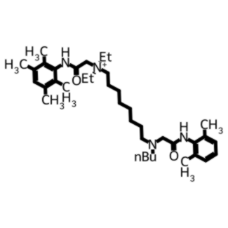 CCCCN(CCCCCCCC[N+](CC)(CC)CC(=O)Nc1c(C)c(C)cc(C)c1C)CC(=O)Nc1c(C)cccc1C